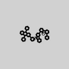 c1ccc(-c2c3ccccc3c(-c3ccccc3)c3cc(-c4cccc(-n5c6ccccc6c6cc(-c7cccc8c7oc7c(-c9ccccc9)cccc78)ccc65)c4)ccc23)cc1